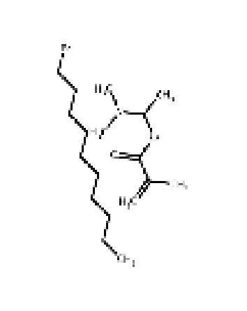 C=C(C)C(=O)OC(C)N(C)C.CCCCCCCCCCBr